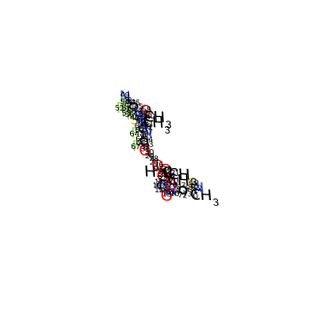 Cc1ncsc1-c1ccc(CNC(=O)C2CCCN2C(=O)C(OC(=O)COCCCCOc2ccc(-c3ncc(N4C(=S)N(c5ccc(C#N)c(C(F)(F)F)c5F)C(=O)C4(C)C)cc3F)cc2F)C(C)(C)C)cc1